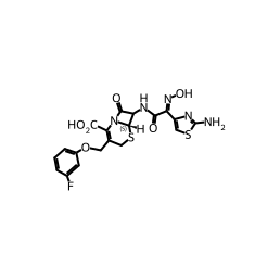 Nc1nc(C(=NO)C(=O)NC2C(=O)N3C(C(=O)O)=C(COc4cccc(F)c4)CS[C@@H]23)cs1